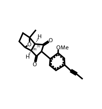 CC#Cc1ccc(C2C(=O)[C@H]3C4CCC(C)(O4)[C@H]3C2=O)c(OC)c1